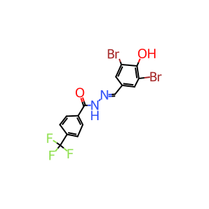 O=C(NN=Cc1cc(Br)c(O)c(Br)c1)c1ccc(C(F)(F)F)cc1